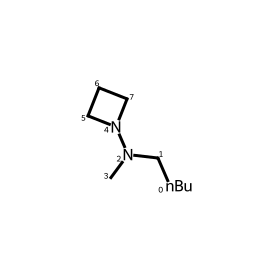 CCCCCN(C)N1CCC1